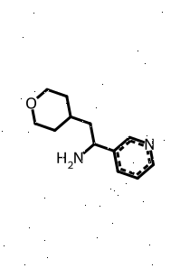 NC(CC1CCOCC1)c1cccnc1